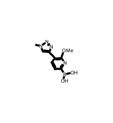 COc1nc(B(O)O)ccc1-c1cn(C)nn1